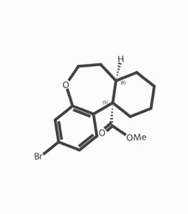 COC(=O)[C@@]12CCCC[C@@H]1CCOc1cc(Br)ccc12